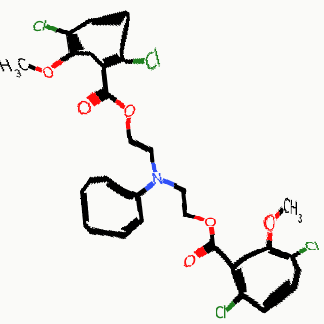 COc1c(Cl)ccc(Cl)c1C(=O)OCCN(CCOC(=O)c1c(Cl)ccc(Cl)c1OC)c1ccccc1